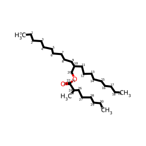 CCCCCCCCCCC(CCCCCCCCC)COC(=O)C(C)CCCCCC